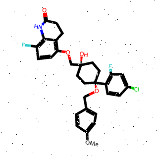 COc1ccc(CO[C@]2(c3ccc(Cl)cc3F)CC[C@@](O)(COc3ccc(F)c4c3CCC(=O)N4)CC2)cc1